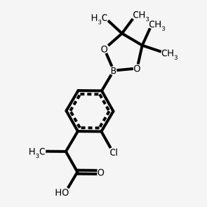 CC(C(=O)O)c1ccc(B2OC(C)(C)C(C)(C)O2)cc1Cl